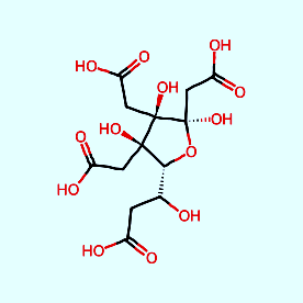 O=C(O)CC(O)[C@H]1O[C@](O)(CC(=O)O)[C@@](O)(CC(=O)O)[C@@]1(O)CC(=O)O